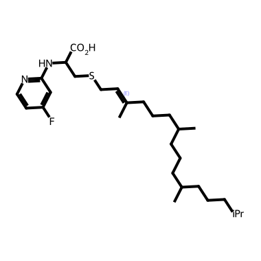 C/C(=C\CSCC(Nc1cc(F)ccn1)C(=O)O)CCCC(C)CCCC(C)CCCC(C)C